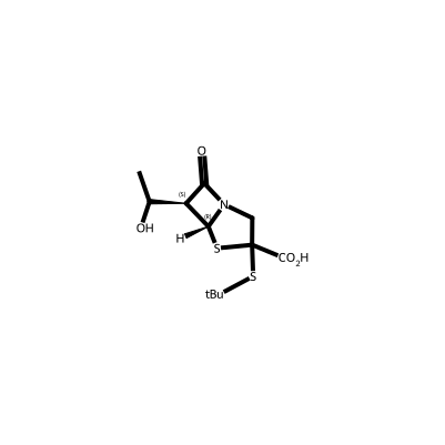 CC(O)[C@H]1C(=O)N2CC(SC(C)(C)C)(C(=O)O)S[C@H]12